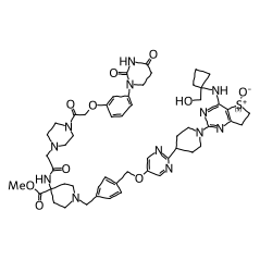 COC(=O)C1(NC(=O)CN2CCN(C(=O)COc3cccc(N4CCC(=O)NC4=O)c3)CC2)CCN(Cc2ccc(COc3cnc(C4CCN(c5nc6c(c(NC7(CO)CCC7)n5)[S@+]([O-])CC6)CC4)nc3)cc2)CC1